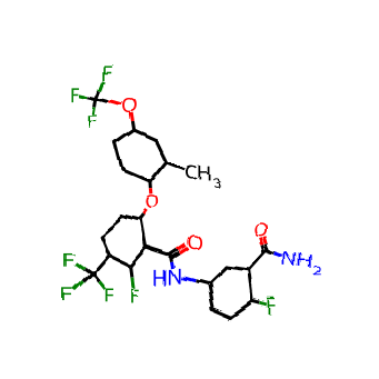 CC1CC(OC(F)(F)F)CCC1OC1CCC(C(F)(F)F)C(F)C1C(=O)NC1CCC(F)C(C(N)=O)C1